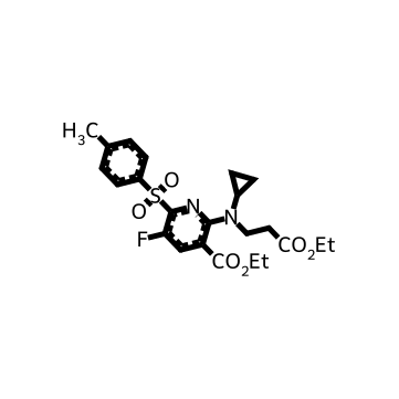 CCOC(=O)CCN(c1nc(S(=O)(=O)c2ccc(C)cc2)c(F)cc1C(=O)OCC)C1CC1